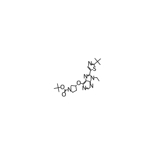 CCn1c(-c2cnc(C(C)(C)C)s2)nc2c(O[C@H]3CCN(C(=O)OC(C)(C)C)C3)ncnc21